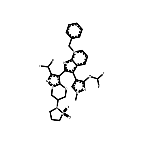 Cn1cc(-c2c3cccn(Cc4ccccc4)c-3nc2-c2c(C(F)F)nn3c2OCC(N2CCCS2(=O)=O)C3)c(OC(F)F)n1